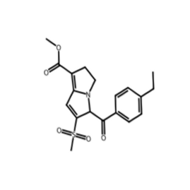 CCc1ccc(C(=O)C2C(S(C)(=O)=O)=CC3=C(C(=O)OC)CCN32)cc1